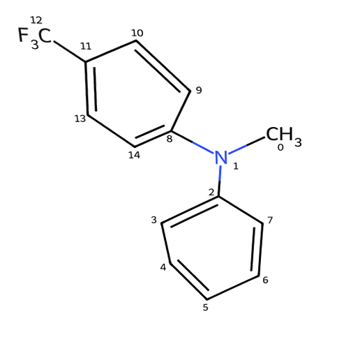 CN(c1ccccc1)c1ccc(C(F)(F)F)cc1